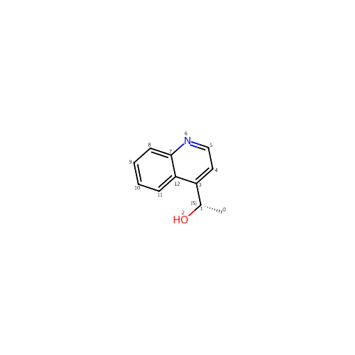 C[C@H](O)c1ccnc2ccccc12